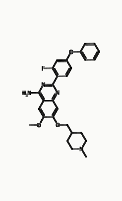 COc1cc2c(N)nc(-c3ccc(Oc4ccccc4)cc3F)nc2cc1OCC1CCN(C)CC1